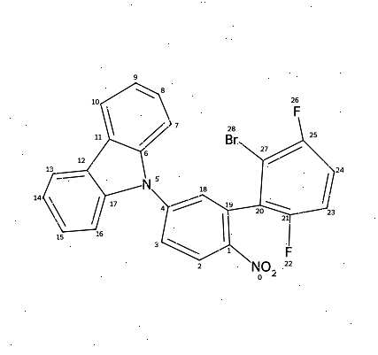 O=[N+]([O-])c1ccc(-n2c3ccccc3c3ccccc32)cc1-c1c(F)ccc(F)c1Br